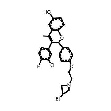 CCC1CN(CCOc2ccc(C3Oc4ccc(O)cc4C(C)=C3c3ccc(F)c(Cl)c3)cc2)C1